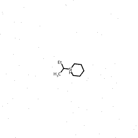 [CH2]CC(C)[SiH]1CCCCC1